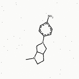 CN1CCC2CN(c3ccc(N)cc3)CC21